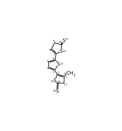 CC1=C(c2ccc(C3=CCC(=S)S3)s2)SC(=S)C1